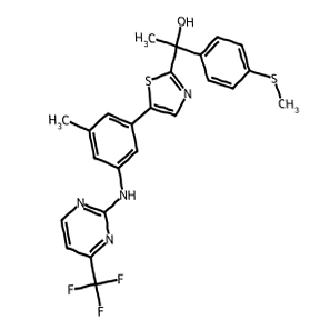 CSc1ccc(C(C)(O)c2ncc(-c3cc(C)cc(Nc4nccc(C(F)(F)F)n4)c3)s2)cc1